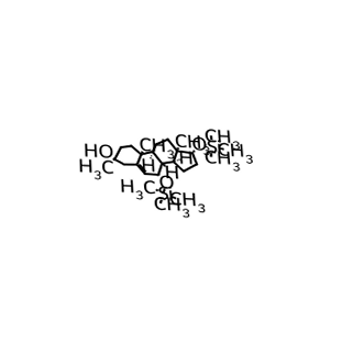 C[C@]1(O)CC[C@@]2(C)C(=C[C@H](O[Si](C)(C)C)[C@H]3[C@@H]4CC[C@H](O[Si](C)(C)C)[C@@]4(C)CC[C@@H]32)C1